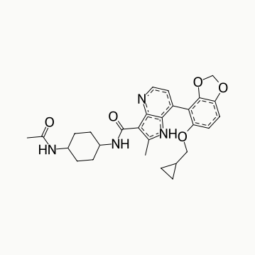 CC(=O)NC1CCC(NC(=O)c2c(C)[nH]c3c(-c4c(OCC5CC5)ccc5c4OCO5)ccnc23)CC1